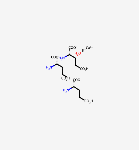 N[C@@H](CCC(=O)O)C(=O)[O-].N[C@@H](CCC(=O)O)C(=O)[O-].N[C@@H](CCC(=O)O)C(=O)[O-].O.[Ca+2].[K+]